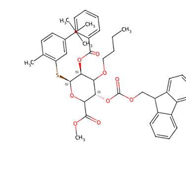 CCCCOC1[C@H](OC(=O)OCC2c3ccccc3-c3ccccc32)C(C(=O)OC)O[C@@H](Sc2cc(C(C)(C)C)ccc2C)[C@H]1OC(=O)c1ccccc1